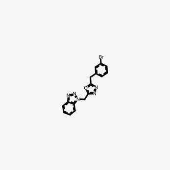 Brc1cccc(Cc2nnc(Cn3nnc4ccccc43)o2)c1